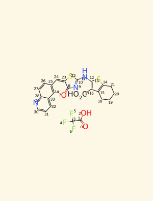 O=C(O)C(F)(F)F.O=C1N=C(Nc2sc3c(c2C(=O)O)CCCC3)SC1=Cc1ccc2ncccc2c1